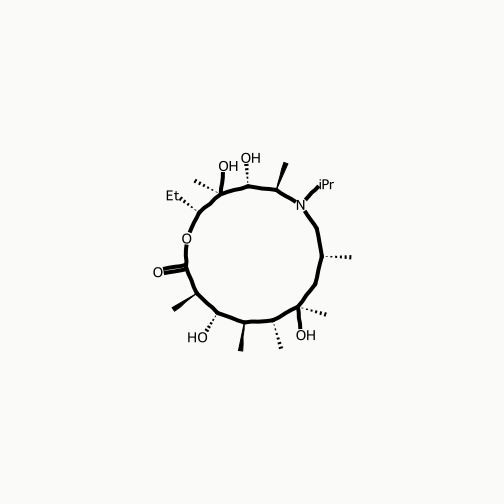 CC[C@H]1OC(=O)[C@H](C)[C@@H](O)[C@H](C)[C@@H](C)[C@](C)(O)C[C@@H](C)CN(C(C)C)[C@H](C)[C@@H](O)[C@]1(C)O